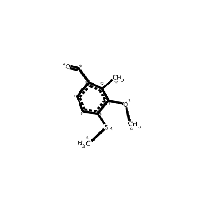 COc1c(SC)ccc(C=O)c1C